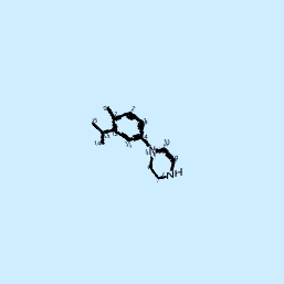 Cc1ccc(N2CCNCC2)cc1C(C)C